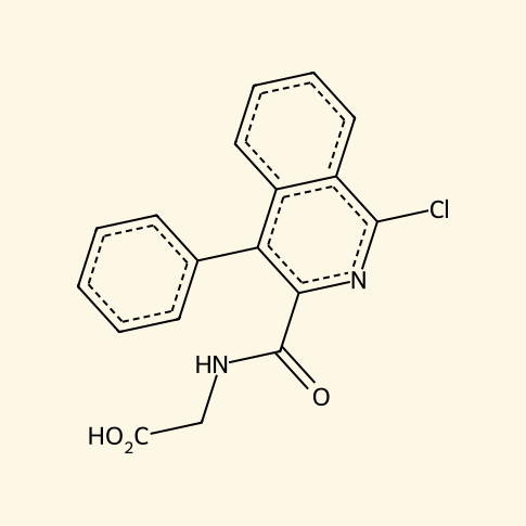 O=C(O)CNC(=O)c1nc(Cl)c2ccccc2c1-c1ccccc1